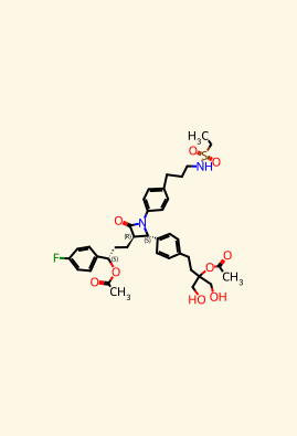 CCS(=O)(=O)NCCCc1ccc(N2C(=O)[C@H](CC[C@H](OC(C)=O)c3ccc(F)cc3)[C@H]2c2ccc(CCC(CO)(CO)OC(C)=O)cc2)cc1